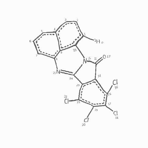 [2H]c1ccc2cccc3c2c1N1C(=O)c2c(Cl)c(Cl)c(Cl)c(Cl)c2C1=N3